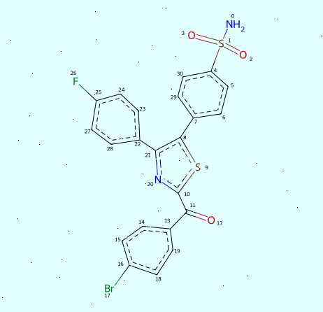 NS(=O)(=O)c1ccc(-c2sc(C(=O)c3ccc(Br)cc3)nc2-c2ccc(F)cc2)cc1